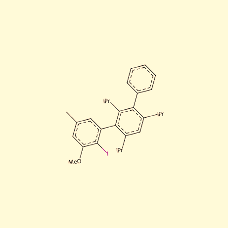 COc1cc(C)cc(-c2c(C(C)C)cc(C(C)C)c(-c3ccccc3)c2C(C)C)c1I